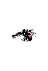 CC/C=C\C(C)(CCCC)c1cc2sc3cc(C4=c5c(c(-c6ccccc6)c6c(c5-c5ccccc5)C(=O)N(/C=C/C(C)C)C=6C(C)(CC)CCCCCC)C(=O)N4/C=C/C(C)C)sc3c2s1